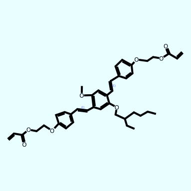 C=CC(=O)OCCOc1ccc(/C=C/c2cc(OCC(CC)CCCC)c(/C=C/c3ccc(OCCOC(=O)C=C)cc3)cc2OC)cc1